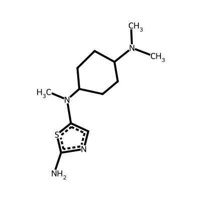 CN(C)C1CCC(N(C)c2cnc(N)s2)CC1